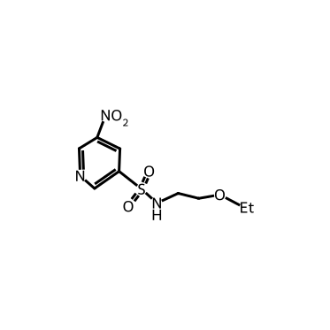 CCOCCNS(=O)(=O)c1cncc([N+](=O)[O-])c1